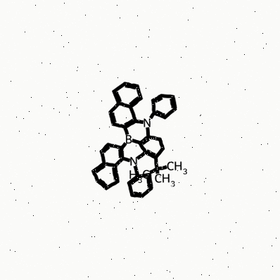 CC(C)(C)C1=C2C3=C(CC1)N(c1ccccc1)c1c(ccc4ccccc14)B3c1ccc3ccccc3c1N2c1ccccc1